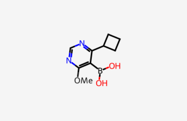 COc1ncnc(C2CCC2)c1B(O)O